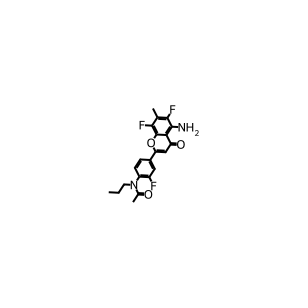 CCCN(C(C)=O)c1ccc(-c2cc(=O)c3c(N)c(F)c(C)c(F)c3o2)cc1F